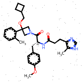 COc1ccc(C[C@@H](NC(=O)CCc2nc[nH]c2C)C(=O)N2CC(OCC3CCC3)(c3ccccc3C)C2)cc1